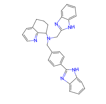 c1cnc2c(c1)CCCC2N(Cc1ccc(-c2nc3ccccc3[nH]2)cc1)Cc1nc2ccccc2[nH]1